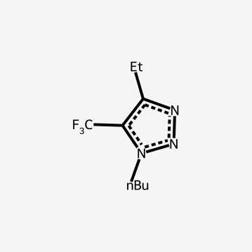 CCCCn1nnc(CC)c1C(F)(F)F